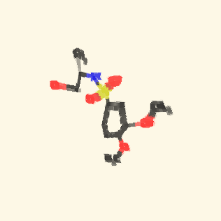 COc1ccc(S(=O)(=O)N[C@@H](C)[C]=O)cc1OC